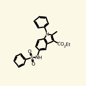 CCOC(=O)c1c(C)n(-c2ccccc2)c2ccc(NS(=O)(=O)c3ccccc3)cc12